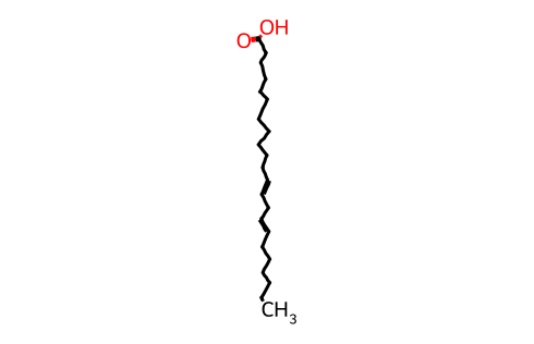 CCCCCCC=CCC=CCCCCCCCCCCC(=O)O